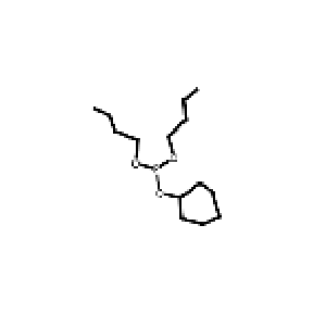 CCCCOP(OCCCC)OC1CCCCC1